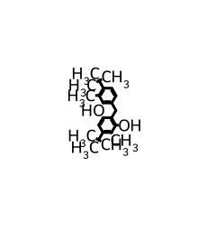 Cc1c(C(C)(C)C)ccc(Cc2ccc(C(C)(C)C)c(C)c2O)c1O